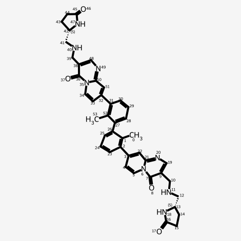 Cc1c(-c2ccn3c(=O)c(CNC[C@@H]4CCC(=O)N4)cnc3c2)cccc1-c1cccc(-c2ccn3c(=O)c(CNC[C@@H]4CCC(=O)N4)cnc3c2)c1C